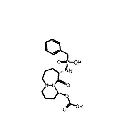 O=C(O)O[C@H]1CCCN2CCC[C@H](NP(=O)(O)Cc3ccccc3)C(=O)N12